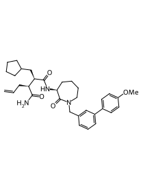 C=CC[C@H](C(N)=O)[C@@H](CC1CCCC1)C(=O)N[C@H]1CCCCN(Cc2cccc(-c3ccc(OC)cc3)c2)C1=O